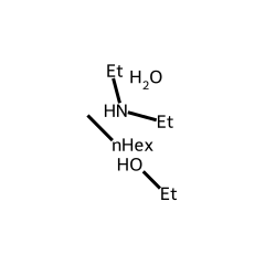 CCCCCCC.CCNCC.CCO.O